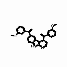 C=C(c1cccc(OC)c1)c1ccc2[nH]c3nccc(C(=C)c4cccc(OC)c4)c3c2c1